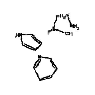 NN.OB(F)F.c1cc[nH]c1.c1ccncc1